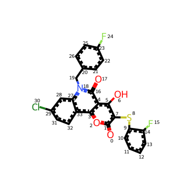 O=c1oc2c(c(O)c1Sc1ccccc1F)c(=O)n(Cc1ccc(F)cc1)c1cc(Cl)ccc21